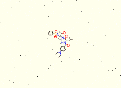 CCN(CC)c1ccc(C(=O)NC(CC(C)C)C(=O)N2CCC3C2C(=O)CN3S(=O)(=O)c2ccccc2)cc1